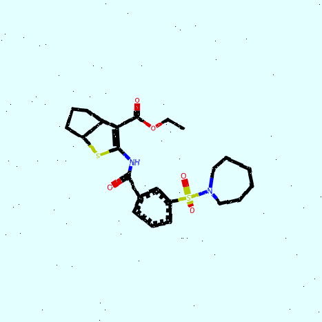 CCOC(=O)C1=C(NC(=O)c2cccc(S(=O)(=O)N3CCCCCC3)c2)SC2CCCC12